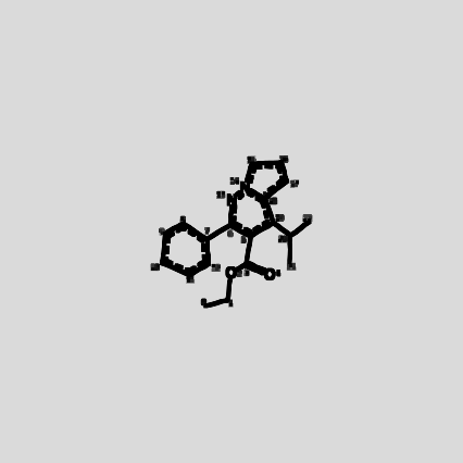 CCOC(=O)c1c(-c2ccccc2)nn2cccc2c1C(C)C